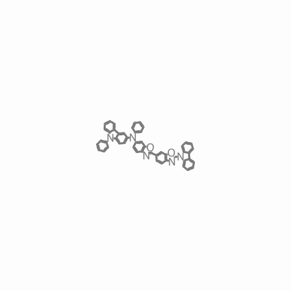 c1ccc(N(c2ccc3nc(-c4ccc5nc(-n6c7ccccc7c7ccccc76)oc5c4)oc3c2)c2ccc3c(c2)c2ccccc2n3-c2ccccc2)cc1